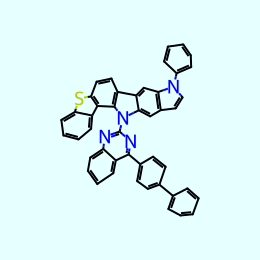 c1ccc(-c2ccc(-c3nc(-n4c5cc6ccn(-c7ccccc7)c6cc5c5ccc6sc7ccccc7c6c54)nc4ccccc34)cc2)cc1